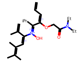 C=C\C=C(OCC(=O)N(CC)CC)/C(C(C)C)=[N+](O)/C(=C/C(C)=C(C)C)C(=C)C